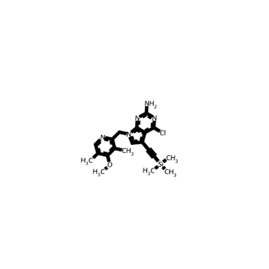 COc1c(C)cnc(Cn2cc(C#C[Si](C)(C)C)c3c(Cl)nc(N)nc32)c1C